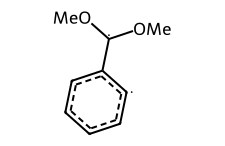 CO[C](OC)c1[c]cccc1